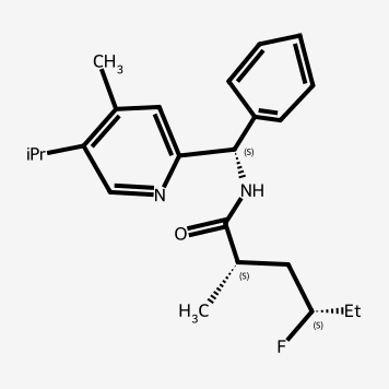 CC[C@H](F)C[C@H](C)C(=O)N[C@@H](c1ccccc1)c1cc(C)c(C(C)C)cn1